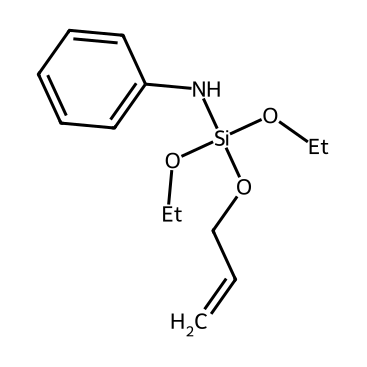 C=CCO[Si](Nc1ccccc1)(OCC)OCC